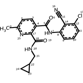 Cc1ccc(C(=O)Nc2cccc(Cl)c2C#N)c(C(=O)NCC2CC2)n1